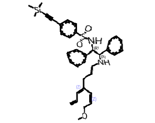 C=C/C=C(\C=C/COC)CCCN[C@H](c1ccccc1)[C@H](NS(=O)(=O)c1ccc(C#C[Si](C)(C)C)cc1)c1ccccc1